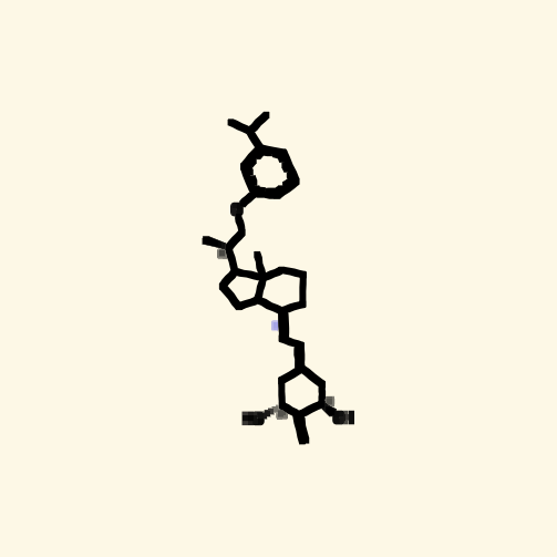 C=C1[C@H](O)CC(=C/C=C2\CCCC3(C)C2CCC3[C@@H](C)COc2cccc(C(C)C)c2)C[C@H]1O